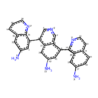 Nc1cc(-c2cncc3c(-c4nccc5ccc(N)cc45)cc(N)cc23)c2ncccc2c1